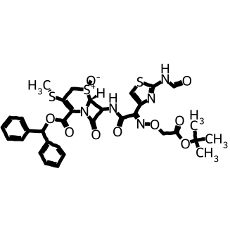 CSC1=C(C(=O)OC(c2ccccc2)c2ccccc2)N2C(=O)C(NC(=O)/C(=N/OCC(=O)OC(C)(C)C)c3csc(NC=O)n3)[C@H]2[S+]([O-])C1